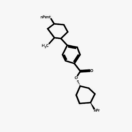 CCCCCC1CCC(c2ccc(C(=O)O[C@H]3CC[C@H](CCC)CC3)cc2)C(C)C1